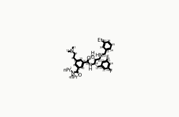 CCCN(CCC)C(=O)c1cc(CCN(C)C)cc(C(=O)N[C@@H](Cc2cc(F)cc(F)c2)[C@H](O)CNCc2cccc(CC)c2)c1